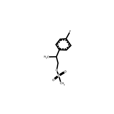 CC(COS(C)(=O)=O)c1ccc(F)cc1